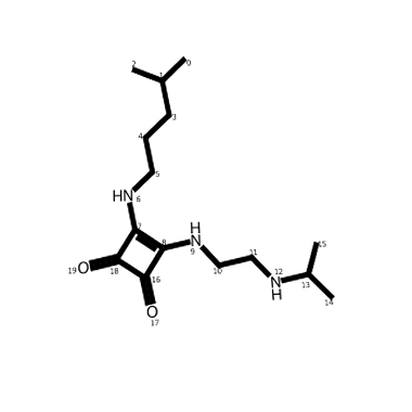 CC(C)CCCNc1c(NCCNC(C)C)c(=O)c1=O